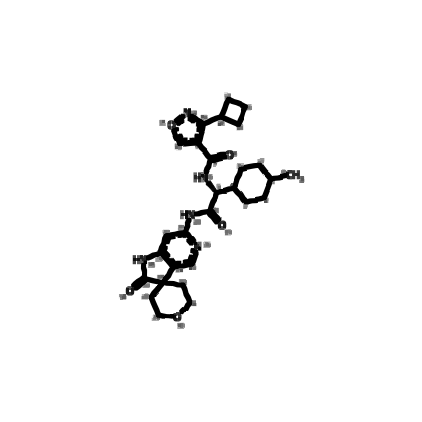 CC1CCC([C@H](NC(=O)c2conc2C2CCC2)C(=O)Nc2cc3c(cn2)C2(CCOCC2)C(=O)N3)CC1